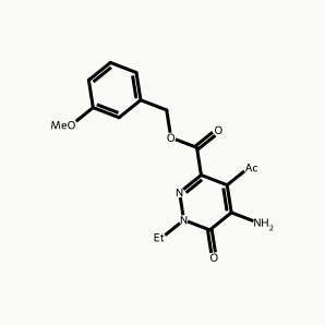 CCn1nc(C(=O)OCc2cccc(OC)c2)c(C(C)=O)c(N)c1=O